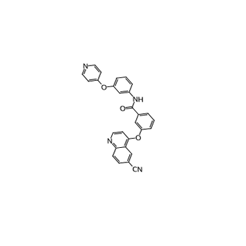 N#Cc1ccc2nccc(Oc3cccc(C(=O)Nc4cccc(Oc5ccncc5)c4)c3)c2c1